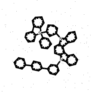 c1ccc(-c2ccc(-c3cccc(-n4c5ccccc5c5c6c7ccccc7n(-c7cccc([Si]8(c9ccccc9)c9ccccc9-c9ccccc98)c7)c6ccc54)c3)cc2)cc1